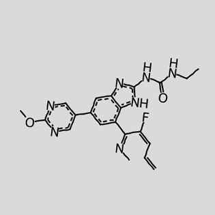 C=C/C=C(F)\C(=N/C)c1cc(-c2cnc(OC)nc2)cc2nc(NC(=O)NCC)[nH]c12